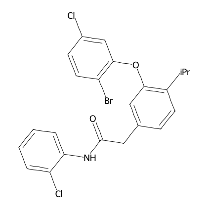 CC(C)c1ccc(CC(=O)Nc2ccccc2Cl)cc1Oc1cc(Cl)ccc1Br